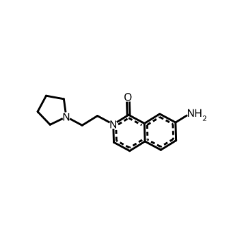 Nc1ccc2ccn(CCN3CCCC3)c(=O)c2c1